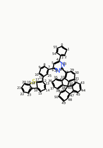 c1ccc(-c2cc(-c3cccc(-c4cccc5c4sc4ccccc45)c3)nc(-c3cccc4c3-c3ccccc3C43c4ccccc4-c4ccccc43)n2)cc1